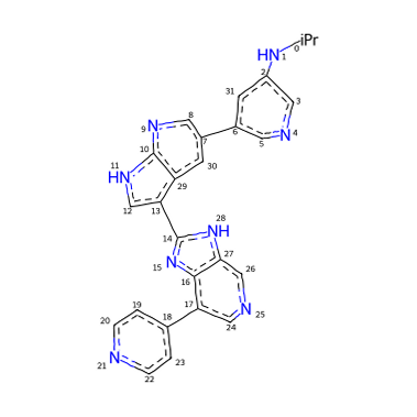 CC(C)Nc1cncc(-c2cnc3[nH]cc(-c4nc5c(-c6ccncc6)cncc5[nH]4)c3c2)c1